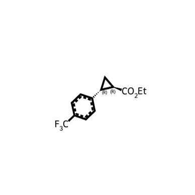 CCOC(=O)[C@@H]1C[C@H]1c1ccc(C(F)(F)F)cc1